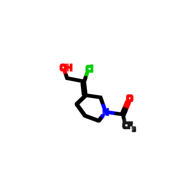 O=C(N1CCC/C(=C(/Cl)CO)C1)C(F)(F)F